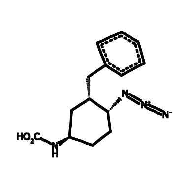 [N-]=[N+]=N[C@@H]1CC[C@@H](NC(=O)O)C[C@@H]1Cc1ccccc1